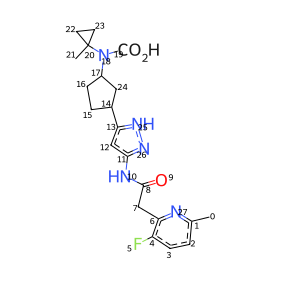 Cc1ccc(F)c(CC(=O)Nc2cc(C3CCC(N(C(=O)O)C4(C)CC4)C3)[nH]n2)n1